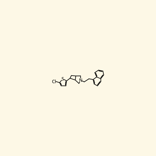 Clc1ccc(C2CC3CN(CCc4cccc5ccccc45)CC32)s1